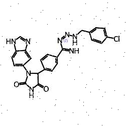 N=C(/N=N\NCc1ccc(Cl)cc1)c1ccc(C2C(=O)NC(=O)N2c2ccc3[nH]cnc3c2)cc1